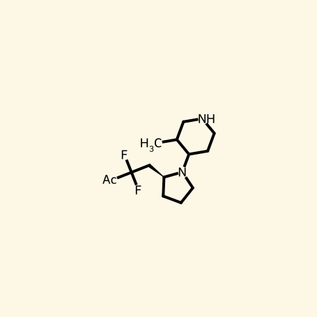 CC(=O)C(F)(F)C[C@@H]1CCCN1C1CCNCC1C